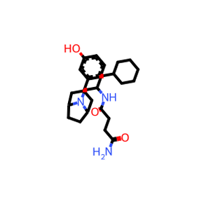 NC(=O)CCC(=O)NC(CC1CCCCC1)CN1C2CCC1CC(c1cccc(O)c1)C2